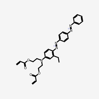 C=CC(=O)OCCN(CCOC(=O)C=C)c1ccc(/N=N/c2ccc(/N=N/c3ccccc3)cc2)c(CC)c1